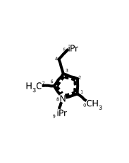 Cc1cc(CC(C)C)c(C)n1C(C)C